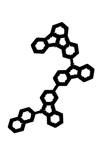 c1ccc2cc(-n3c4ccccc4c4cc(-c5ccc6c(c5)c5ccccc5n6-c5ccc6c7cccc8c9ccccc9n(c6c5)c87)ccc43)ccc2c1